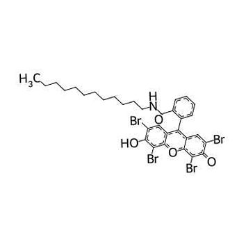 CCCCCCCCCCCCNC(=O)c1ccccc1-c1c2cc(Br)c(=O)c(Br)c-2oc2c(Br)c(O)c(Br)cc12